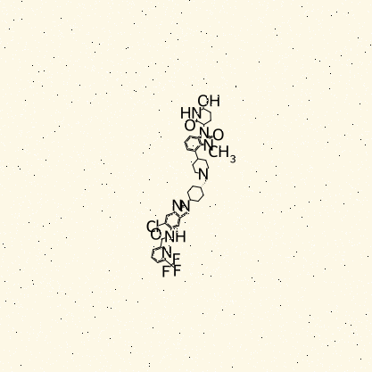 Cn1c(=O)n(C2CCC(O)NC2=O)c2cccc(C3CCN(C[C@H]4CC[C@H](n5cc6cc(NC(=O)c7cccc(C(F)(F)F)n7)c(Cl)cc6n5)CC4)CC3)c21